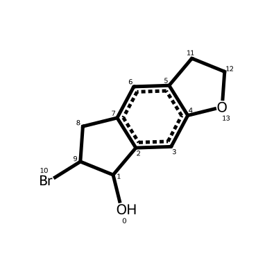 OC1c2cc3c(cc2CC1Br)CCO3